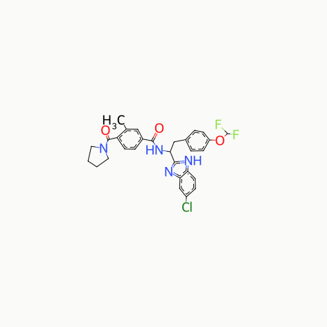 Cc1cc(C(=O)NC(Cc2ccc(OC(F)F)cc2)c2nc3cc(Cl)ccc3[nH]2)ccc1C(=O)N1CCCC1